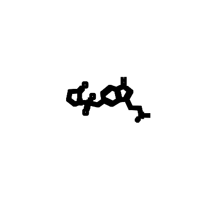 CN(C)CCc1c[nH]c2ccc(CS(=O)(=O)N3CCCC3=O)cc12